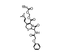 CN(C)C=CC1=C(C(=O)OCOC(=O)C(C)(C)C)N2C(=O)C(NC(=O)COc3ccccc3)C2SC1